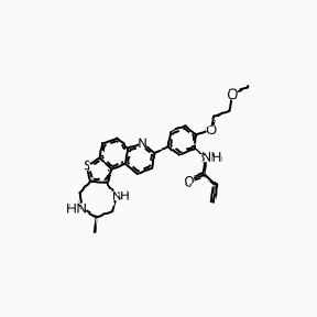 C=CC(=O)Nc1cc(-c2ccc3c(ccc4sc5c(c43)NC[C@@H](C)NC5)n2)ccc1OCCOC